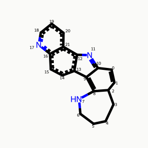 C1=CC2CCCCNC2=C2C1=Nc1c2ccc2ncccc12